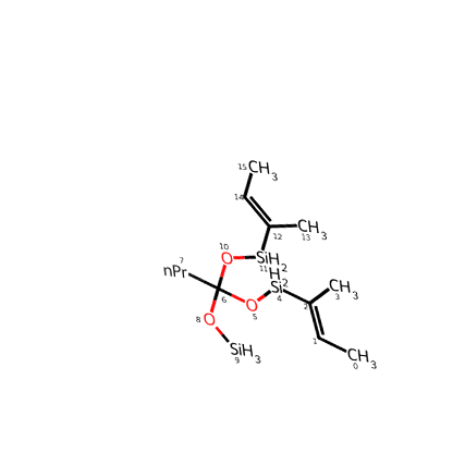 CC=C(C)[SiH2]OC(CCC)(O[SiH3])O[SiH2]C(C)=CC